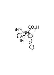 CC(C)CC(NC(=O)c1cc(COc2ccccc2)ccc1CCC(=O)O)c1cccc(C(C)C)c1